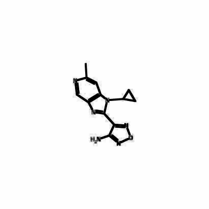 Cc1cc2c(cn1)nc(-c1nonc1N)n2C1CC1